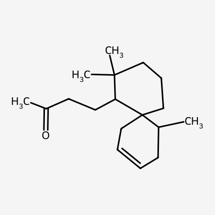 CC(=O)CCC1C(C)(C)CCCC12CC=CCC2C